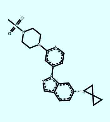 CS(=O)(=O)N1CCN(c2cc(-n3ncc4ccc([C@@H]5CC56CC6)cc43)ccn2)CC1